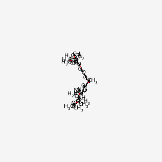 Cc1c(CC(=O)N(C)C)ccc(NC(=O)c2nn([C@@H]3CCCN(C(=O)/C=C/CN(C)CCOCCOCCOCCOCCN(C(=O)OC(C)(C)C)C(=O)OC(C)(C)C)C3)c3ncnc(N)c23)c1C